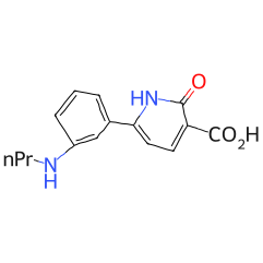 CCCNc1cccc(-c2ccc(C(=O)O)c(=O)[nH]2)c1